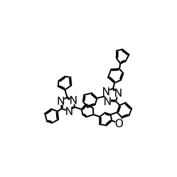 C1=CC(c2ccc3oc4cccc(-c5nc(-c6ccccc6)nc(-c6ccc(-c7ccccc7)cc6)n5)c4c3c2)CC=C1c1nc(-c2ccccc2)nc(-c2ccccc2)n1